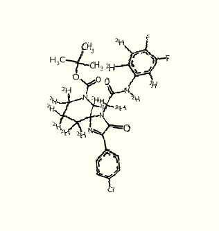 [2H]c1c([2H])c(N([2H])C(=O)C([2H])([2H])N2C(=O)C(c3ccc(Cl)cc3)=NC23C([2H])([2H])N(C(=O)OC(C)(C)C)C([2H])([2H])C([2H])([2H])C3([2H])[2H])c([2H])c(F)c1F